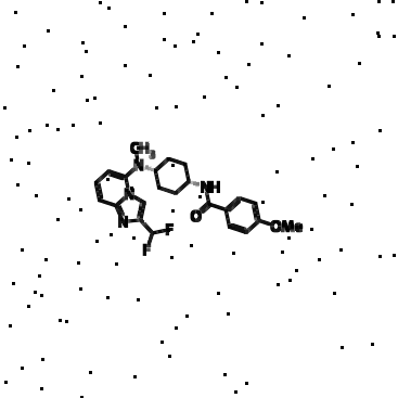 COc1ccc(C(=O)N[C@H]2CC[C@@H](N(C)c3cccc4nc(C(F)F)cn34)CC2)cc1